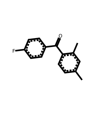 Cc1ccc(C(=O)c2ccc(F)cc2)c(C)c1